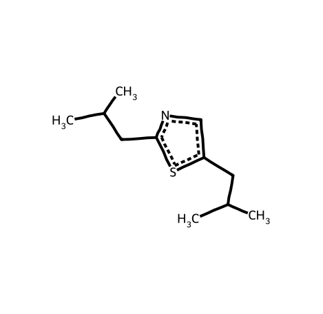 CC(C)Cc1cnc(CC(C)C)s1